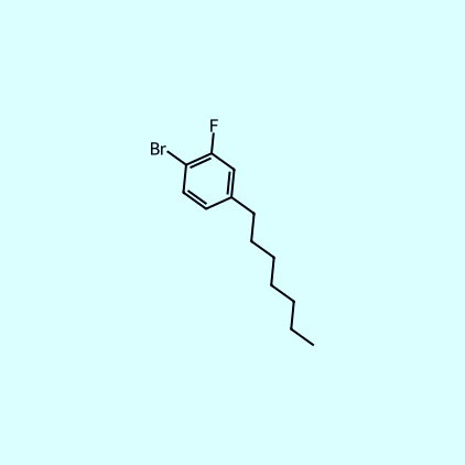 CCCCCCCc1ccc(Br)c(F)c1